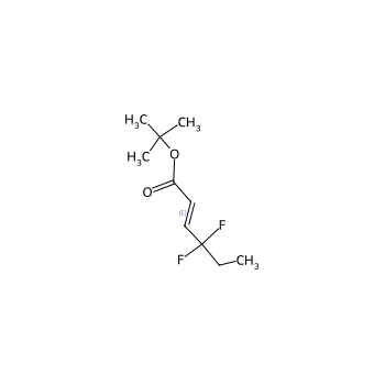 CCC(F)(F)/C=C/C(=O)OC(C)(C)C